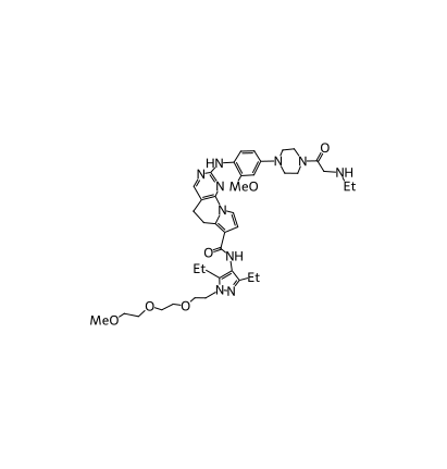 CCNCC(=O)N1CCN(c2ccc(Nc3ncc4c(n3)-n3ccc(C(=O)Nc5c(CC)nn(CCOCCOCCOC)c5CC)c3CC4)c(OC)c2)CC1